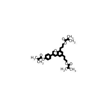 C=C(C)C(=O)OCCCc1cc2c(c(CCCOC(=O)C(=C)C)c1)OCC(c1ccc(OC(=O)C(=C)C)cc1)=C2